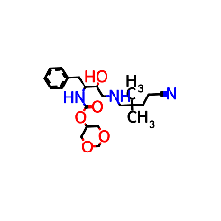 CC(C)(CCC#N)CNCC(O)[C@H](Cc1ccccc1)NC(=O)OC1COCOC1